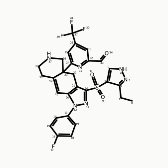 CCc1n[nH]cc1S(=O)(=O)c1nn(-c2ccc(F)cc2)c2c1CC1(c3cc(C(F)(F)F)cc(C=O)n3)CNCCC1=C2